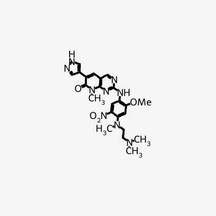 COc1cc(N(C)CCN(C)C)c([N+](=O)[O-])cc1Nc1ncc2cc(-c3cn[nH]c3)c(=O)n(C)c2n1